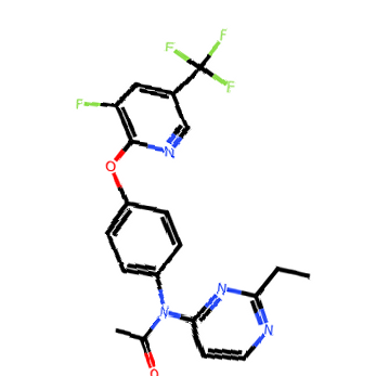 CCc1nccc(N(C(C)=O)c2ccc(Oc3ncc(C(F)(F)F)cc3F)cc2)n1